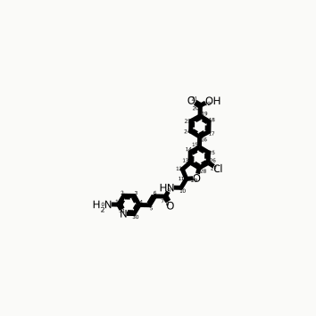 Nc1ccc(/C=C/C(=O)NCC2Cc3cc(-c4ccc(C(=O)O)cc4)cc(Cl)c3O2)cn1